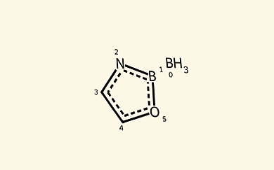 B.b1ncco1